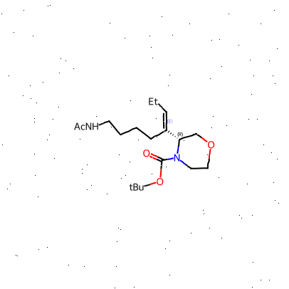 CC/C=C(\CCCCNC(C)=O)[C@@H]1COCCN1C(=O)OC(C)(C)C